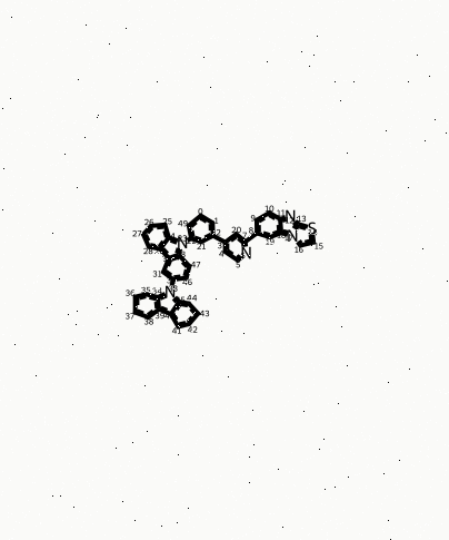 c1cc(-c2ccnc(-c3ccc4nc5sccn5c4c3)c2)cc(-n2c3ccccc3c3cc(-n4c5ccccc5c5ccccc54)ccc32)c1